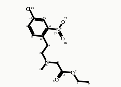 CCOC(=O)CN(C)CCc1ccc(Cl)cc1[N+](=O)[O-]